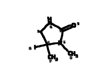 CN1C(=O)NCC1(C)I